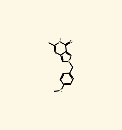 COc1ccc(Cn2cc3nc(C)[nH]c(=O)c3n2)cc1